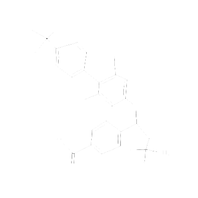 Cc1cc(OC(CC(C)(C)C)c2ccc(C(=O)O)cc2)cc(C)c1-c1ccc(C(F)(F)F)cc1